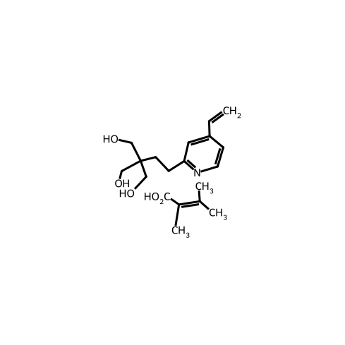 C=Cc1ccnc(CCC(CO)(CO)CO)c1.CC(C)=C(C)C(=O)O